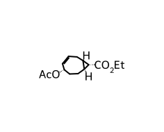 CCOC(=O)[C@H]1[C@@H]2C/C=C\[C@@H](OC(C)=O)CC[C@@H]21